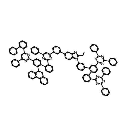 CCc1nc2cc(-c3cccc(-c4cc(-c5ccccc5)nc(-c5ccccc5-c5ccc(-c6nc(-c7ccccc7)cc(-c7ccccc7-c7ccccc7)n6)cc5-c5cc6ccccc6c6ccccc56)n4)c3)ccc2n1-c1cccc(-c2cc(-c3nc(-c4ccccc4)nc(-c4ccccc4)n3)ccc2-c2ccccc2-c2nc(-c3ccccc3)nc(-c3ccccc3)n2)c1